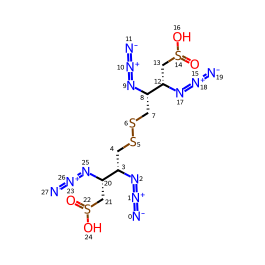 [N-]=[N+]=N[C@@H](CSSC[C@H](N=[N+]=[N-])[C@H](CS(=O)O)N=[N+]=[N-])[C@H](CS(=O)O)N=[N+]=[N-]